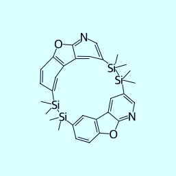 C[Si]1(C)c2ccc3oc4ncc(cc4c3c2)[Si](C)(C)[Si](C)(C)c2cnc3oc4ccc(cc4c3c2)[Si]1(C)C